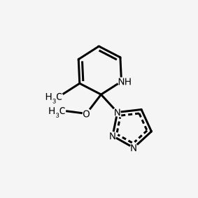 COC1(n2ccnn2)NC=CC=C1C